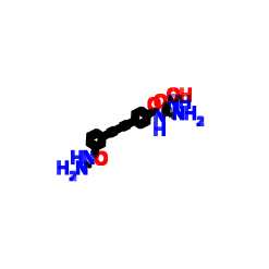 NCNC(=O)c1cccc(C#CC#Cc2ccc(C(=O)N[C@@H](CN)C(=O)NO)cc2)c1